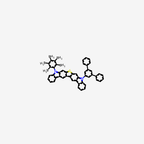 Bc1c(B)c(B)c(-n2c3ccccc3c3cc4c(cc32)sc2cc3c(cc24)c2ccccc2n3-c2cc(-c3ccccc3)cc(-c3ccccc3)c2)c(B)c1B